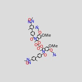 COc1cc2c(OC(=O)C(=O)Oc3c(C)n(C(=O)c4ccc(-c5ccc(-c6noc(C)n6)cc5C)cc4)c4cc(OCCN(C)C)c(OC)cc34)c(C)n(C(=O)c3ccc(-c4ccc(-c5noc(C)n5)cc4C)cc3)c2cc1OCCN(C)C